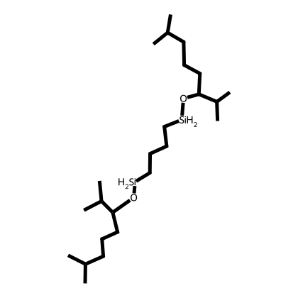 CC(C)CCCC(O[SiH2]CCCC[SiH2]OC(CCCC(C)C)C(C)C)C(C)C